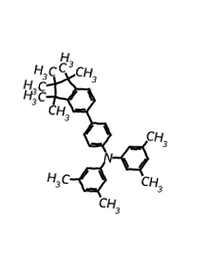 Cc1cc(C)cc(N(c2ccc(-c3ccc4c(c3)C(C)(C)C(C)(C)C4(C)C)cc2)c2cc(C)cc(C)c2)c1